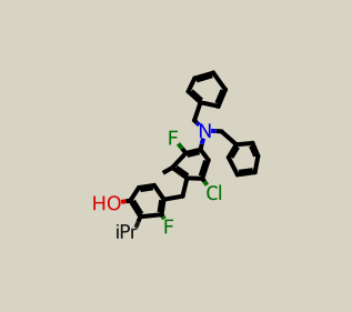 Cc1c(F)c(N(Cc2ccccc2)Cc2ccccc2)cc(Cl)c1Cc1ccc(O)c(C(C)C)c1F